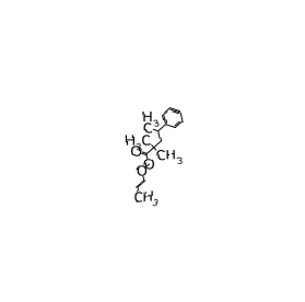 CCCOOC(=O)C(C)(C)CC(C)c1ccccc1